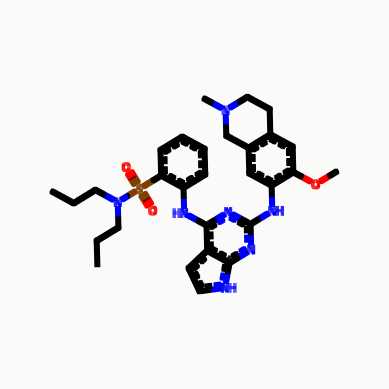 CCCN(CCC)S(=O)(=O)c1ccccc1Nc1nc(Nc2cc3c(cc2OC)CCN(C)C3)nc2[nH]ccc12